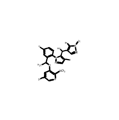 CCn1ncc(C(O)c2c(F)cnn2-c2ccc(F)cc2C(C)Oc2cc(Br)cnc2[N+](=O)[O-])c1Br